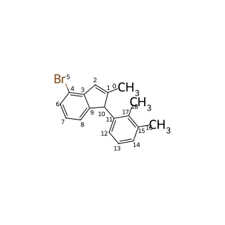 CC1=Cc2c(Br)cccc2C1c1cccc(C)c1C